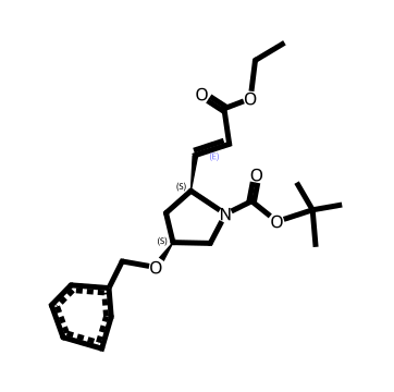 CCOC(=O)/C=C/[C@@H]1C[C@H](OCc2ccccc2)CN1C(=O)OC(C)(C)C